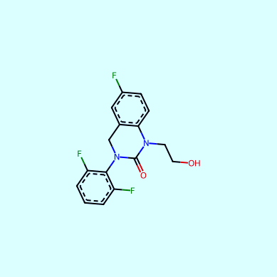 O=C1N(CCO)c2ccc(F)cc2CN1c1c(F)cccc1F